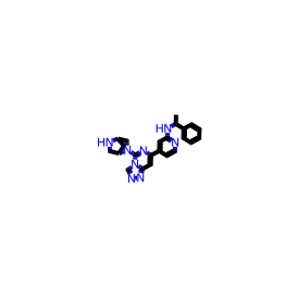 CC(Nc1cc(-c2cc3nncn3c(N3CC4CC3CN4)n2)ccn1)c1ccccc1